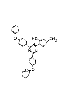 Cc1ccc(-c2nc(-c3ccc(Oc4ccccc4)cc3)nc(-c3ccc(Oc4ccccc4)cc3)n2)c(O)c1